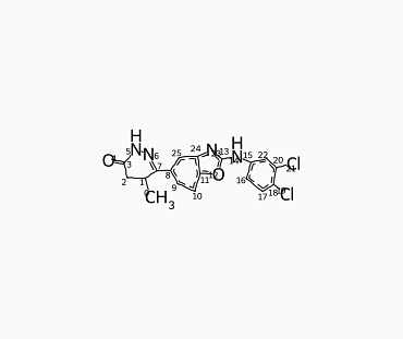 CC1CC(=O)NN=C1c1ccc2oc(Nc3ccc(Cl)c(Cl)c3)nc2c1